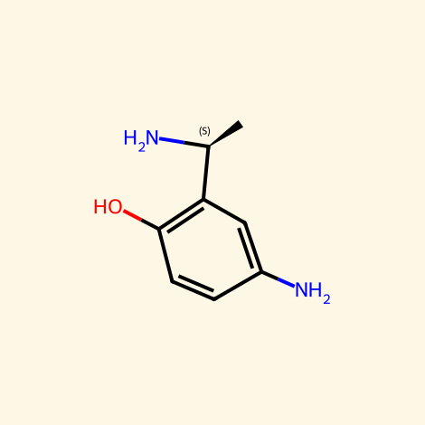 C[C@H](N)c1cc(N)ccc1O